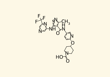 Cc1nsc(Nc2cncc(C(F)(F)F)n2)c1C(=O)Nc1ccc(OC2CCN(C(=O)O)CC2)nc1